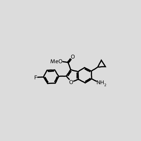 COC(=O)c1c(-c2ccc(F)cc2)oc2cc(N)c(C3CC3)cc12